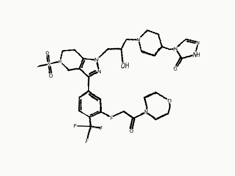 CS(=O)(=O)N1CCc2c(c(-c3ccc(C(F)(F)F)c(SCC(=O)N4CCOCC4)c3)nn2CC(O)CN2CCC(n3cn[nH]c3=O)CC2)C1